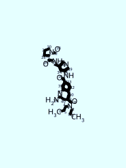 CCCN(CCC)C(=O)C1=Cc2ccc(C(=O)Nc3cncc(CNC(=O)[C@@H]4CCCN4C=O)c3)cc2N=C(N)C1